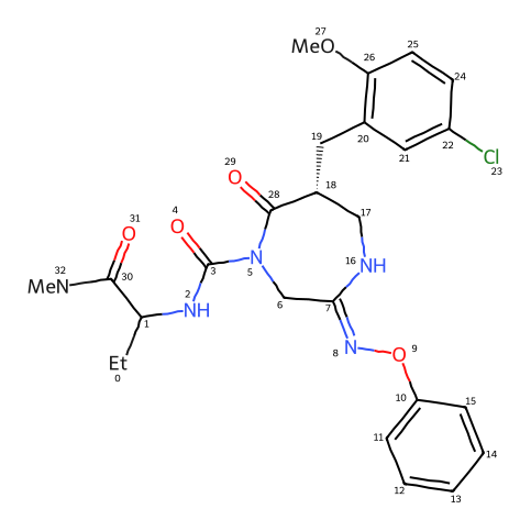 CCC(NC(=O)N1C/C(=N/Oc2ccccc2)NC[C@@H](Cc2cc(Cl)ccc2OC)C1=O)C(=O)NC